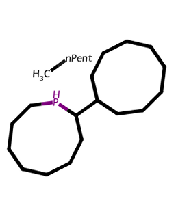 C1CCCCC(C2CCCCCCCP2)CCC1.CCCCCC